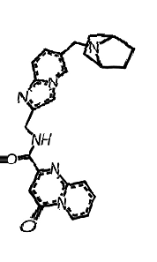 O=C(NCc1cn2cc(CN3C4CCC3CC4)ccc2n1)c1cc(=O)n2ccccc2n1